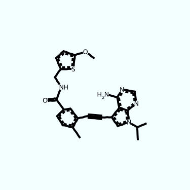 COc1ccc(CNC(=O)c2ccc(C)c(C#Cc3cn(C(C)C)c4ncnc(N)c34)c2)s1